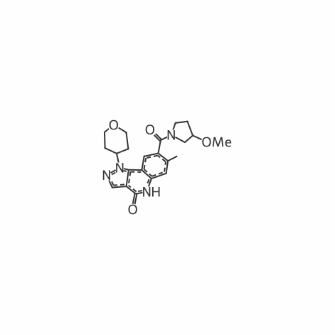 COC1CCN(C(=O)c2cc3c(cc2C)[nH]c(=O)c2cnn(C4CCOCC4)c23)C1